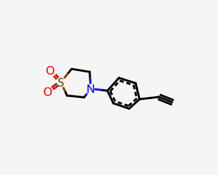 C#Cc1ccc(N2CCS(=O)(=O)CC2)cc1